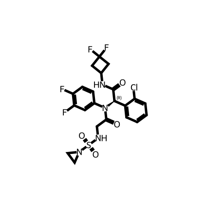 O=C(NC1CC(F)(F)C1)[C@@H](c1ccccc1Cl)N(C(=O)CNS(=O)(=O)N1CC1)c1ccc(F)c(F)c1